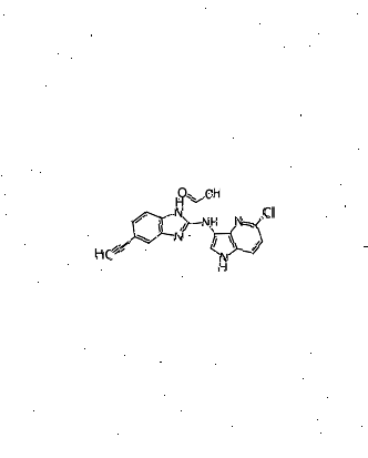 C#Cc1ccc2[nH]c(Nc3c[nH]c4ccc(Cl)nc34)nc2c1.O=CO